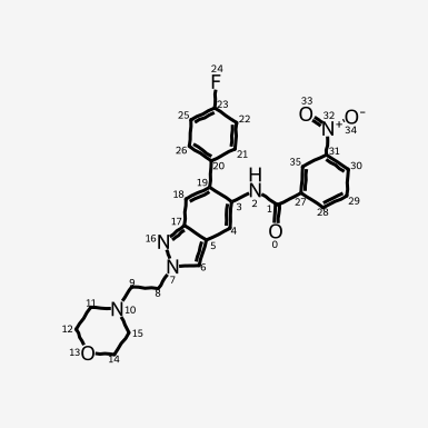 O=C(Nc1cc2cn(CCN3CCOCC3)nc2cc1-c1ccc(F)cc1)c1cccc([N+](=O)[O-])c1